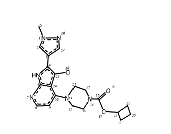 Cn1cc(-c2[nH]c3nccc(N4CCN(C(=O)OC5CCC5)CC4)c3c2Cl)cn1